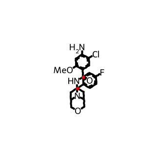 COc1cc(N)c(Cl)cc1C(=O)NC1CC2COCC(C1)N2Cc1ccc(F)cc1